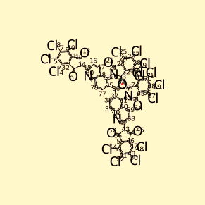 O=C1c2c(Cl)c(Cl)c(Cl)c(Cl)c2C(=O)C1c1ccc2c(N3C(=O)c4c(Cl)c(Cl)c(Cl)c(Cl)c4C3=O)c(Cc3ccc4nc(C5C(=O)c6c(Cl)c(Cl)c(Cl)c(Cl)c6C5=O)ccc4c3N3C(=O)c4c(Cl)c(Cl)c(Cl)c(Cl)c4C3=O)ccc2n1